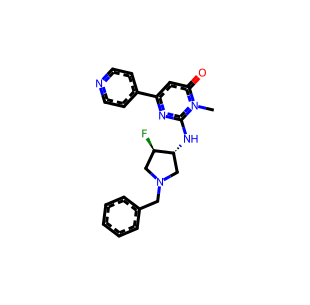 Cn1c(N[C@@H]2CN(Cc3ccccc3)C[C@H]2F)nc(-c2ccncc2)cc1=O